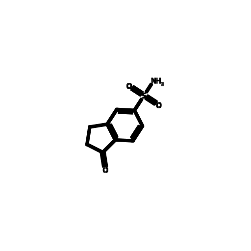 NS(=O)(=O)c1ccc2c(c1)CCC2=O